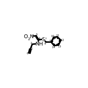 C#CCNC(=C[N+](=O)[O-])SCc1ccccc1